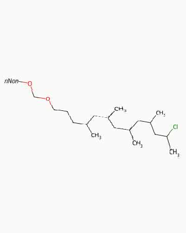 CCCCCCCCCOCOCCCC(C)CC(C)CC(C)CC(C)CC(C)Cl